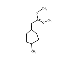 CO[SiH](CC1CCC(C)CC1)OC